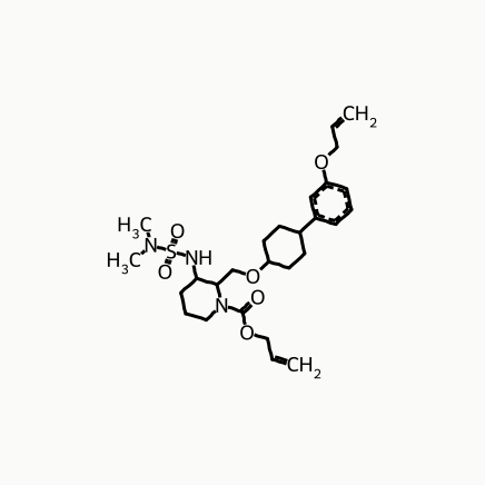 C=CCOC(=O)N1CCCC(NS(=O)(=O)N(C)C)C1COC1CCC(c2cccc(OCC=C)c2)CC1